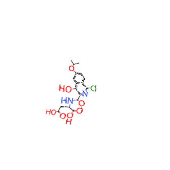 CC(C)Oc1ccc2c(Cl)nc(C(=O)N[C@H](CC(=O)O)C(=O)O)c(O)c2c1